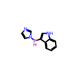 c1ccc2c(Pn3ccnc3)c[nH]c2c1